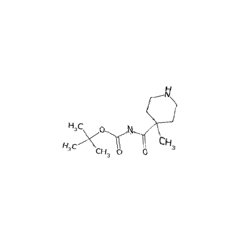 CC(C)(C)OC(=O)[N]C(=O)C1(C)CCNCC1